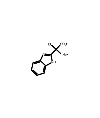 CCCCCCC(CC)(C(=O)O)c1nc2ccccc2[nH]1